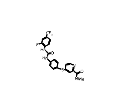 CNC(=O)c1cc(Sc2ccc(NC(=O)Nc3ccc(C(F)(F)F)cc3F)cc2)ccn1